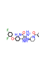 C=C(C)C(=O)N1CCC[C@@H](N/C(N)=C(\C(=N)c2ccc(Oc3ccc(F)cc3F)cc2)C(N)=O)C1